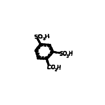 O=C(O)c1ccc(S(=O)(=O)O)cc1S(=O)(=O)O